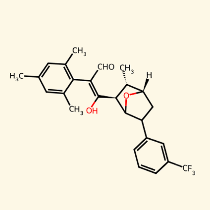 Cc1cc(C)c(/C(C=O)=C(\O)[C@@H]2C3O[C@@H](CC3c3cccc(C(F)(F)F)c3)[C@H]2C)c(C)c1